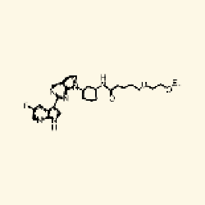 CCOCCOCCCCC(=O)N[C@H]1CCC[C@@H](n2ccc3cnc(-c4c[nH]c5ncc(F)cc45)nc32)C1